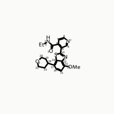 CCNC(=O)c1ccncc1-c1nc2c(OC)ccc(C3CCOCC3)c2s1